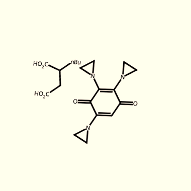 CCCCC(CC(=O)O)C(=O)O.O=C1C=C(N2CC2)C(=O)C(N2CC2)=C1N1CC1